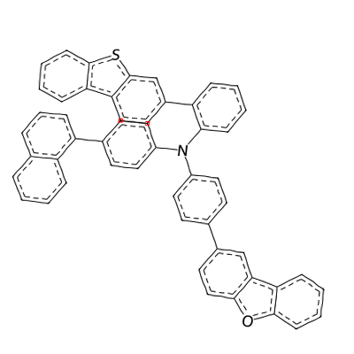 c1ccc(N(c2ccc(-c3ccc4oc5ccccc5c4c3)cc2)c2ccc(-c3cccc4ccccc34)cc2)c(-c2ccc3c(c2)sc2ccccc23)c1